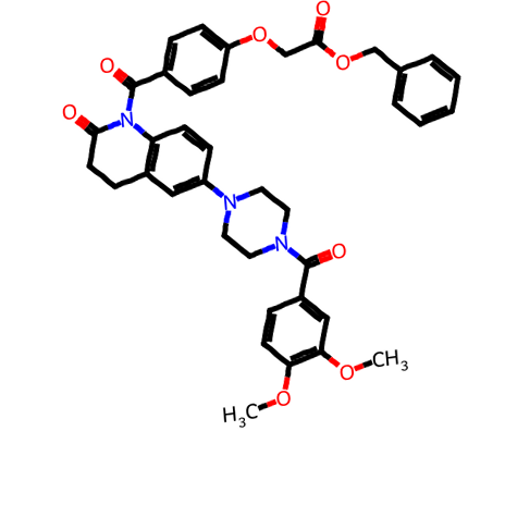 COc1ccc(C(=O)N2CCN(c3ccc4c(c3)CCC(=O)N4C(=O)c3ccc(OCC(=O)OCc4ccccc4)cc3)CC2)cc1OC